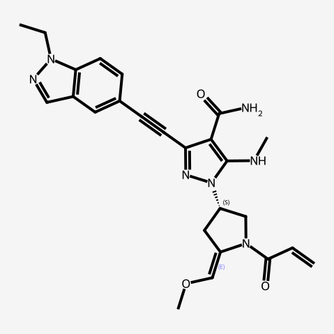 C=CC(=O)N1C[C@@H](n2nc(C#Cc3ccc4c(cnn4CC)c3)c(C(N)=O)c2NC)C/C1=C\OC